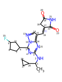 CC(Nc1nc(C2CCC(F)C2)n2ncc(/C=C3\CC(=O)NC3=O)c2n1)C1CC1